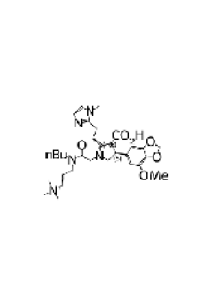 CCCCN(CCC[N+](C)(C)C)C(=O)CN1C[C@H](c2cc(OC)c3c(c2)OCO3)[C@@H](C(=O)O)[C@@H]1CCc1nccn1C